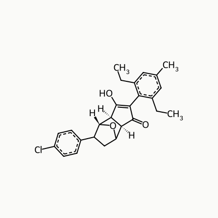 CCc1cc(C)cc(CC)c1C1=C(O)[C@@H]2[C@@H]3OC(CC3c3ccc(Cl)cc3)[C@@H]2C1=O